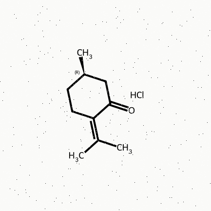 CC(C)=C1CC[C@@H](C)CC1=O.Cl